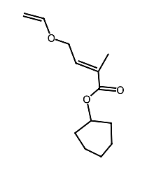 C=COCC=C(C)C(=O)OC1CCCCC1